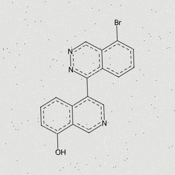 Oc1cccc2c(-c3nncc4c(Br)cccc34)cncc12